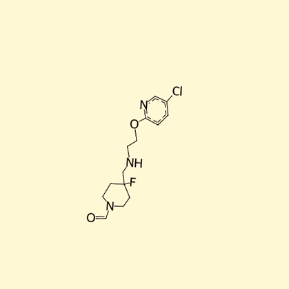 O=CN1CCC(F)(CNCCOc2ccc(Cl)cn2)CC1